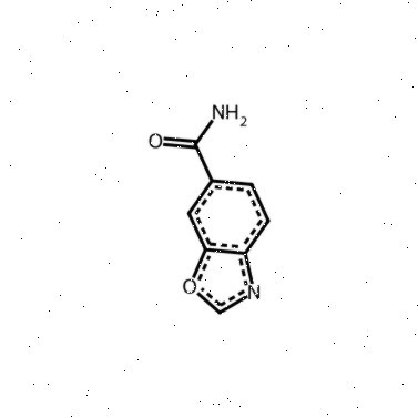 NC(=O)c1ccc2ncoc2c1